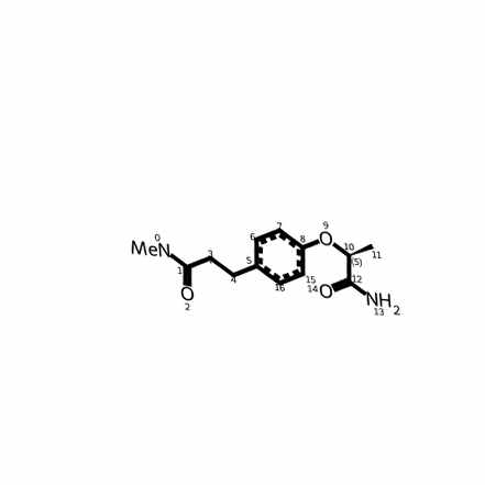 CNC(=O)[CH]Cc1ccc(O[C@@H](C)C(N)=O)cc1